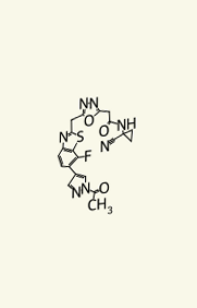 CC(=O)n1cc(-c2ccc3nc(Cc4nnc(CC(=O)NC5(C#N)CC5)o4)sc3c2F)cn1